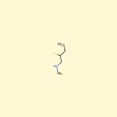 CCCCNCC(F)CS(=O)(=O)O